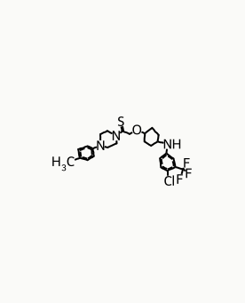 Cc1ccc(N2CCN(C(=S)COC3CCC(Nc4ccc(Cl)c(C(F)(F)F)c4)CC3)CC2)cc1